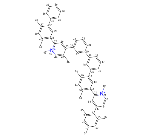 Cc1cc(C)c(-c2cc[n+](C)c(-c3cc(-c4cccc(-c5cccc(-c6cc(-c7cc(-c8ccccc8)c(C)cc7C)[n+](C)cc6C)c5)c4)c(C)cc3C)c2)c(C)c1